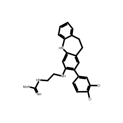 CNC(=N)NCCNc1cc2c(cc1-c1ccc(Cl)c(Cl)c1)CCc1ccccc1N2